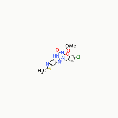 COC(=O)Cn1c(=O)[nH]/c(=N\c2ccc3nc(C)sc3c2)n(Cc2ccc(Cl)cc2)c1=O